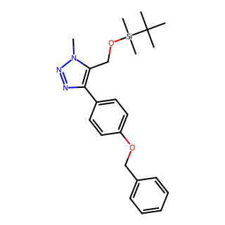 Cn1nnc(-c2ccc(OCc3ccccc3)cc2)c1CO[Si](C)(C)C(C)(C)C